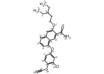 CCN(CC)CCOc1cc2nccc(Oc3ccc(SC#N)c(Cl)c3)c2cc1C(N)=O